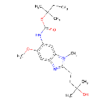 CCC(C)(C)OC(=O)Nc1cc2c(cc1OC)nc(CCC(C)(C)O)n2C